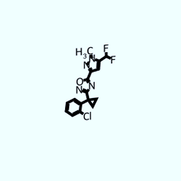 Cn1nc(-c2nc(C3(c4ccccc4Cl)CC3)no2)cc1C(F)F